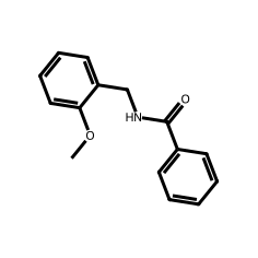 COc1ccccc1CNC(=O)c1ccccc1